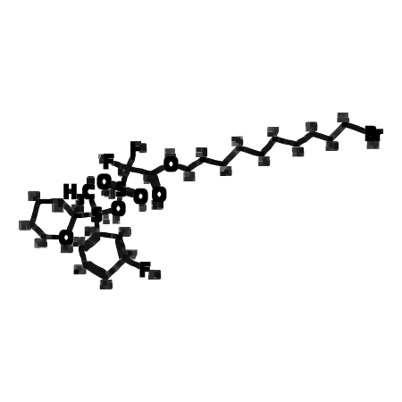 CS(OS(=O)(=O)C(F)(F)C(=O)OCCCCCCCCCCBr)(c1cccc(F)c1)C1CCCCO1